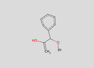 C=C(O)C(OC(C)C)c1ccccc1